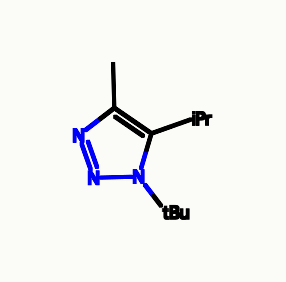 Cc1nnn(C(C)(C)C)c1C(C)C